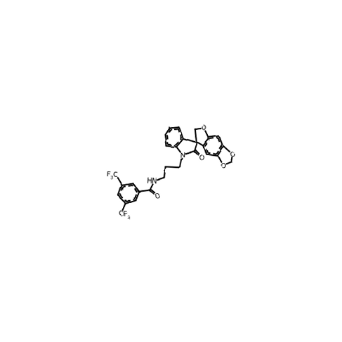 O=C(NCCCN1C(=O)C2(COc3cc4c(cc32)OCO4)c2ccccc21)c1cc(C(F)(F)F)cc(C(F)(F)F)c1